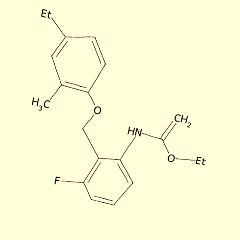 C=C(Nc1cccc(F)c1COc1ccc(CC)cc1C)OCC